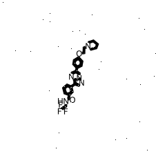 O=C(NCC(F)(F)F)c1cccc(-c2cnn3cc(-c4ccc(OCCN5CCCCC5)cc4)cnc23)c1